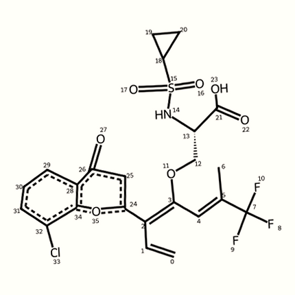 C=C/C(=C(\C=C(/C)C(F)(F)F)OC[C@H](NS(=O)(=O)C1CC1)C(=O)O)c1cc(=O)c2cccc(Cl)c2o1